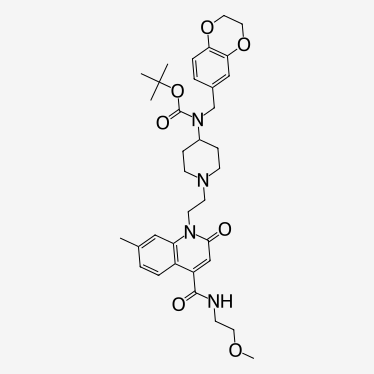 COCCNC(=O)c1cc(=O)n(CCN2CCC(N(Cc3ccc4c(c3)OCCO4)C(=O)OC(C)(C)C)CC2)c2cc(C)ccc12